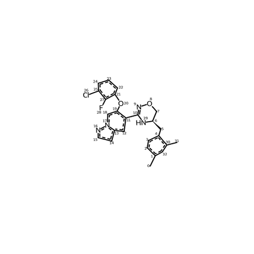 Cc1ccc(C[C@@H]2CON=C(c3cc4ccnn4cc3Oc3cccc(Cl)c3F)N2)c(C)c1